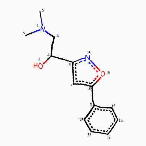 CN(C)CC(O)c1cc(-c2ccccc2)on1